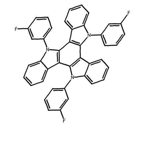 Fc1cccc(-n2c3ccccc3c3c2c2c4ccccc4n(-c4cccc(F)c4)c2c2c4ccccc4n(-c4cccc(F)c4)c32)c1